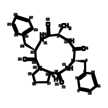 C[C@@H]1NC(=O)[C@H](Cc2ccccc2)NC(=O)[C@H]2CCCN2C(=O)[C@H](Cc2ccccc2)NC1=O